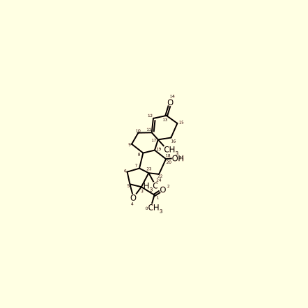 CC(=O)C12OC1CC1C3CCC4=CC(=O)CCC4(C)C3C(O)CC12C